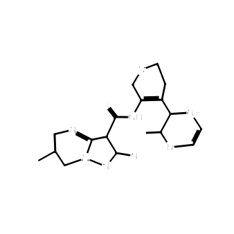 CC1NC=CNC1C1=C(NC(=O)C2C3=NCC(F)CN3NC2N)CNCC1